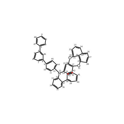 c1ccc(-c2cccc(-c3ccc(N(c4ccc5c(c4)Oc4cccc6cccc(c46)O5)c4ccccc4-c4ccccc4)cc3)c2)cc1